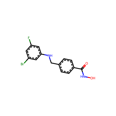 O=C(NO)c1ccc(CNc2cc(F)cc(Br)c2)cc1